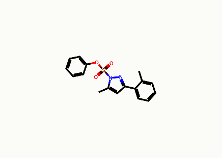 Cc1ccccc1-c1cc(C)n(S(=O)(=O)Oc2ccccc2)n1